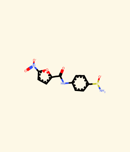 N[S+]([O-])c1ccc(NC(=O)c2ccc([N+](=O)[O-])o2)cc1